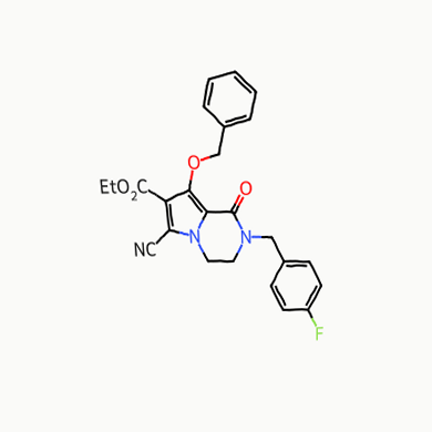 CCOC(=O)c1c(OCc2ccccc2)c2n(c1C#N)CCN(Cc1ccc(F)cc1)C2=O